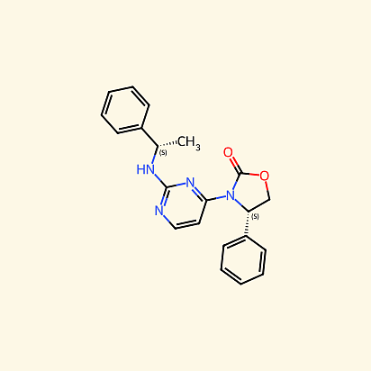 C[C@H](Nc1nccc(N2C(=O)OC[C@@H]2c2ccccc2)n1)c1ccccc1